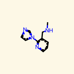 CNCc1cccnc1-n1ccnc1